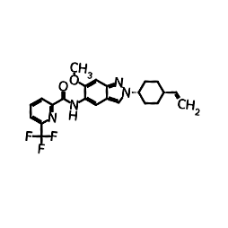 C=C[C@H]1CC[C@H](n2cc3cc(NC(=O)c4cccc(C(F)(F)F)n4)c(OC)cc3n2)CC1